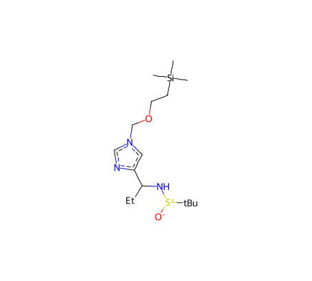 CCC(N[S+]([O-])C(C)(C)C)c1cn(COCC[Si](C)(C)C)cn1